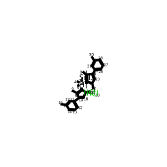 CC1=[C]([Hf]([CH3])([CH3])(=[SiH2])[C]2=C(C)C(c3cccc(C)c3)=CC2C)C(C)C=C1c1cccc(C)c1.Cl.Cl